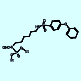 CCOP(=O)(OCC)N(C=O)CCCCCCNS(=O)(=O)c1ccc(Oc2ccccc2)cc1